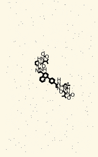 COC(=O)N[C@H](C(=O)N1C[Si](C)(C)C[C@H]1c1ncc(-c2ccc(-c3ccc(-c4cnc([C@@H]5CCCN5C(=O)[C@@H](NC(=O)OC)C(C)C)[nH]4)c4ccccc34)cc2)[nH]1)C(C)C